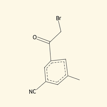 Cc1cc(C#N)cc(C(=O)CBr)c1